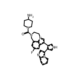 NC1CCN(C(=O)N2CCn3cc(-c4c[nH]cc4-c4cnc5ccccn45)c4cc(F)cc(c43)C2)CC1